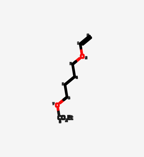 C=COCCCCOC(=O)OCC